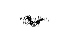 COc1cc(C)c(-c2cccc(C(C)(C)N=O)c2)cc1SNc1cccc(NCCN)c1